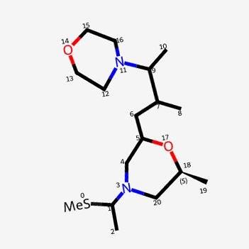 CSC(C)N1CC(CC(C)C(C)N2CCOCC2)O[C@@H](C)C1